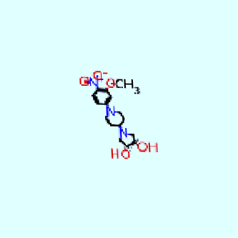 COc1cc(N2CCC(N3C[C@@H](O)[C@H](O)C3)CC2)ccc1[N+](=O)[O-]